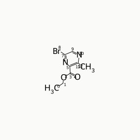 CCOC(=O)c1nc(Br)cnc1C